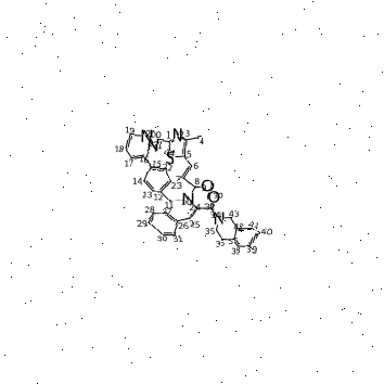 Cc1nc(C)c(C=CC(=O)N(Cc2ccc(-c3cccnn3)cc2)C(Cc2ccccc2)C(=O)N2CCc3ccccc3C2)s1